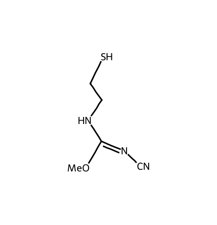 CO/C(=N\C#N)NCCS